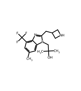 Cc1cc(C(F)(F)F)c2nc(CC3CNC3)n(CC(C)(C)O)c2c1